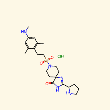 CNc1cc(C)c(CCS(=O)(=O)N2CCC3(CC2)N=C(C2CCCN2)NC3=O)c(C)c1.Cl